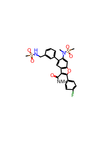 CNC(=O)c1c(-c2ccc(F)cc2)oc2cc(N(C)S(C)(=O)=O)c(-c3cccc(CNS(C)(=O)=O)c3)cc12